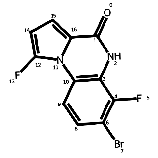 O=c1[nH]c2c(F)c(Br)ccc2n2c(F)ccc12